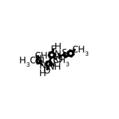 Cc1ccc2cc(C(=O)Nc3c(F)ccc(-c4cc(Nc5cc(C)n(C)n5)c(=O)[nH]n4)c3C)sc2c1